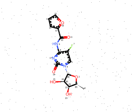 C[C@H]1O[C@@H](n2cc(F)c(NC(=O)c3ccco3)nc2=O)[C@H](O)[C@@H]1O